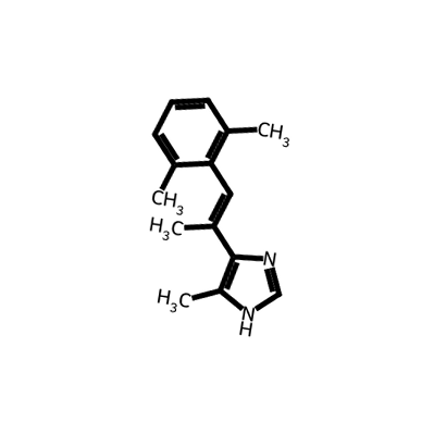 CC(=Cc1c(C)cccc1C)c1nc[nH]c1C